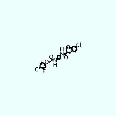 O=C(COc1ccc(Cl)c(F)c1)NC12CC(NC(=O)C3=Cc4ccc(Cl)cc4OC3)(C1)C2